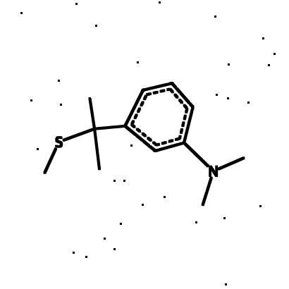 CSC(C)(C)c1cccc(N(C)C)c1